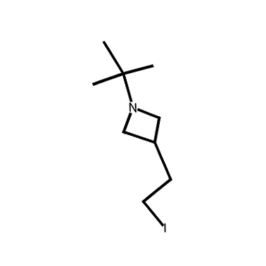 CC(C)(C)N1CC(CCI)C1